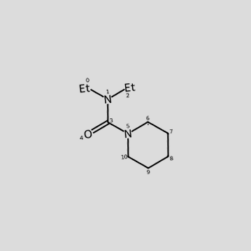 CCN(CC)C(=O)N1[CH]CCCC1